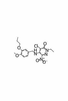 CCCOc1cc(CNc2c([N+](=O)[O-])nn(CC)c(=O)c2Cl)ccc1OC